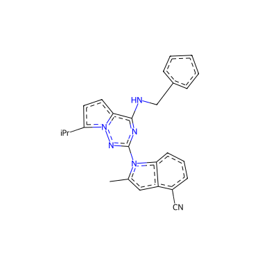 Cc1cc2c(C#N)cccc2n1-c1nc(NCc2ccccc2)c2ccc(C(C)C)n2n1